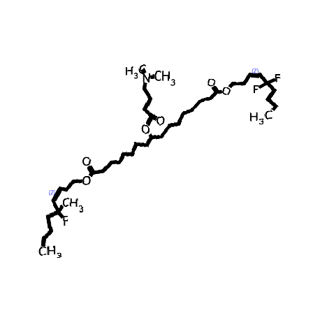 CCCCC(C)(F)/C=C\CCOC(=O)CCCCCCCC(CCCCCCCC(=O)OCC/C=C\C(F)(F)CCCC)OC(=O)CCCN(C)C